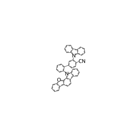 N#Cc1ccc(-c2ccccc2-n2c3ccccc3c3ccc4c5ccccc5oc4c32)cc1-n1c2ccccc2c2ccccc21